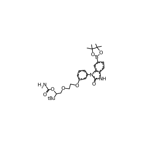 CC(C)(C)C(COCCOc1cccc(-n2c(=O)[nH]c3ccc(B4OC(C)(C)C(C)(C)O4)cc32)c1)OC(N)=O